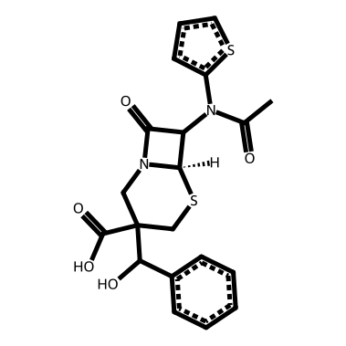 CC(=O)N(c1cccs1)C1C(=O)N2CC(C(=O)O)(C(O)c3ccccc3)CS[C@H]12